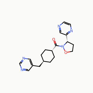 O=C([C@H]1CC[C@H](Cc2cncnc2)CC1)N1OCC[C@H]1c1cnccn1